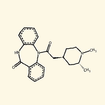 C[C@@H]1C[C@@H](CC(=O)N2c3ccccc3NC(=O)c3ccccc32)CCN1C